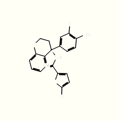 Cc1ccc([C@@]2(NC(=O)c3ccc(Br)o3)CCOc3cccnc32)cc1F